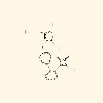 CCCCc1nc(Cl)c(C(=O)O)n1Cc1ccc(-c2ccccc2-c2c(O)c(=O)c2=O)cc1